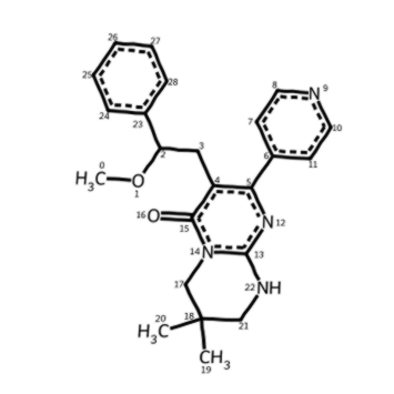 COC(Cc1c(-c2ccncc2)nc2n(c1=O)CC(C)(C)CN2)c1ccccc1